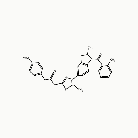 COc1ccc(CC(=O)Nc2nc(-c3ccc4c(c3)CC(C)N4C(=O)c3ccccc3C)c(C)s2)cc1